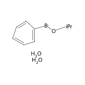 CC(C)O[B]c1ccccc1.O.O